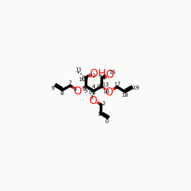 C=CCO[C@H]([C@H](OCC=C)[C@H](C)O)[C@@H](C=O)OCC=C